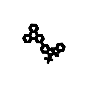 CC(C)(C)n1c2ccc(-c3ccc4c5ccccc5c5ccccc5c4c3)cc2n2c3ccccc3nc12